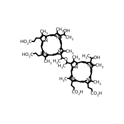 CC1=C(CCC(=O)O)c2cc3[nH]c(cc4nc(cc5[nH]c(cc1n2)c(C)c5C(C)O)C(C)=C4C(C)OC(C)C1=C(C)c2cc4[nH]c(cc5nc(cc6[nH]c(cc1n2)c(C)c6CCC(=O)O)C(CCC(=O)O)=C5C)c(C)c4C(C)O)c(C)c3CCC(=O)O